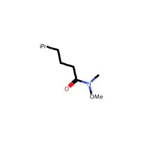 CON(C)C(=O)CCCC(C)C